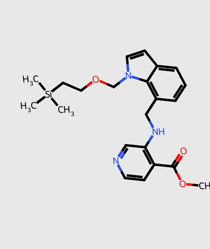 COC(=O)c1ccncc1NCc1cccc2ccn(COCC[Si](C)(C)C)c12